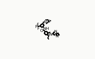 CCCc1ccc(C(=O)Nc2cc(CN3CCN(C)CC3)cc(C(F)(F)F)c2)cc1CNc1cnc2ccnn2c1